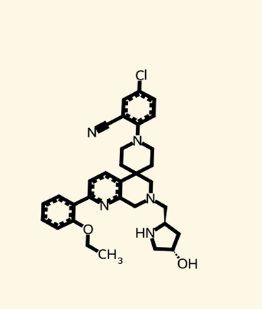 CCOc1ccccc1-c1ccc2c(n1)CN(C[C@H]1C[C@H](O)CN1)CC21CCN(c2ccc(Cl)cc2C#N)CC1